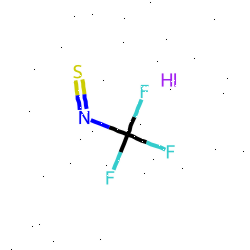 FC(F)(F)N=S.I